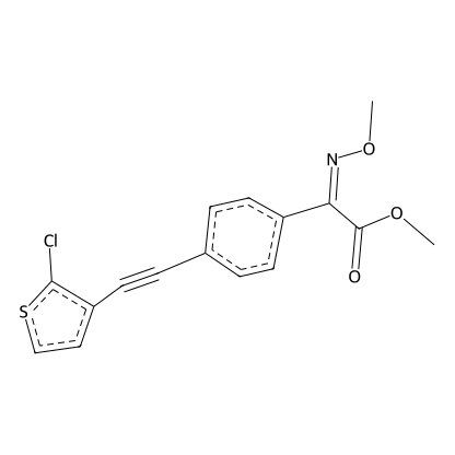 CON=C(C(=O)OC)c1ccc(C#Cc2ccsc2Cl)cc1